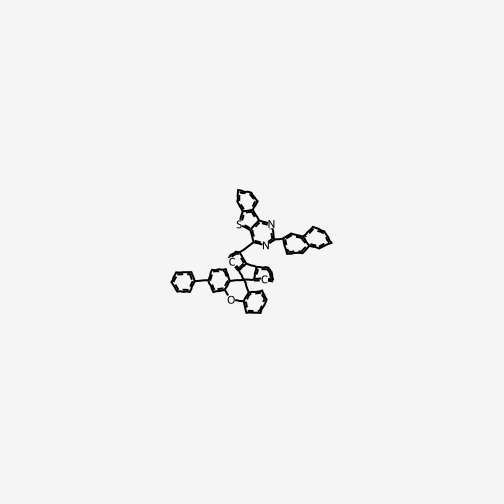 c1ccc(-c2ccc3c(c2)Oc2ccccc2C32c3ccccc3-c3c(-c4nc(-c5ccc6ccccc6c5)nc5c4sc4ccccc45)cccc32)cc1